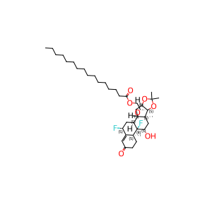 CCCCCCCCCCCCCCCC(=O)OCC(=O)[C@@]12OC(C)(C)O[C@@H]1C[C@H]1[C@@H]3C[C@H](F)C4=CC(=O)CC[C@]4(C)[C@@]3(F)[C@@H](O)C[C@@]12C